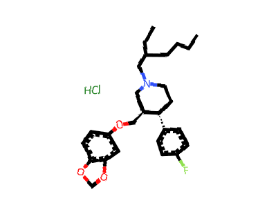 CCCCC(CC)CN1CC[C@H](c2ccc(F)cc2)[C@@H](COc2ccc3c(c2)OCO3)C1.Cl